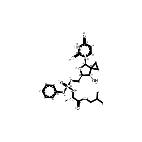 CC(C)COC(=O)[C@H](C)NP(=O)(OC[C@H]1O[C@@H](n2ccc(=O)[nH]c2=O)C2(CC2)[C@@H]1O)Oc1ccccc1